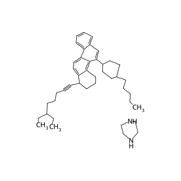 C1CNCCN1.CCCCCC1CCC(c2cc3ccccc3c3ccc4c(c23)CCCC4C#CCCCC(CC)CC)CC1